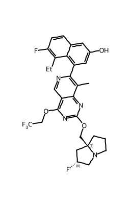 CCc1c(F)ccc2cc(O)cc(-c3ncc4c(OCC(F)(F)F)nc(OC[C@@]56CCCN5C[C@H](F)C6)nc4c3C)c12